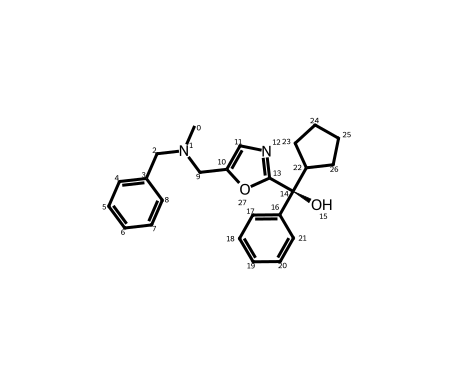 CN(Cc1ccccc1)Cc1cnc([C@@](O)(c2ccccc2)C2CCCC2)o1